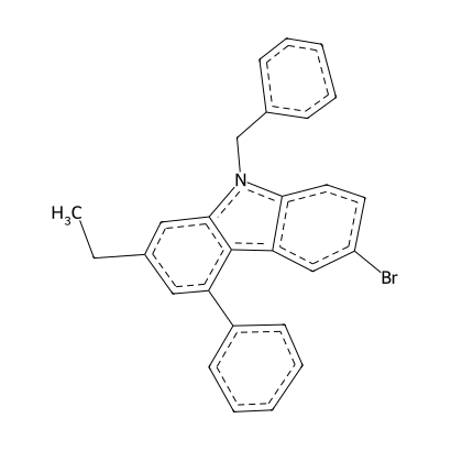 CCc1cc(-c2ccccc2)c2c3cc(Br)ccc3n(Cc3ccccc3)c2c1